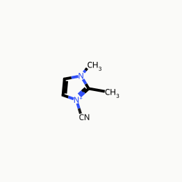 Cc1n(C)cc[n+]1C#N